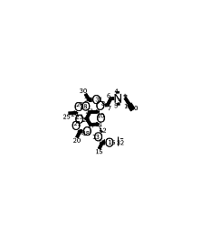 C#CC[N+](C)(C)CCOC1O[C@H](COC(C)=O)[C@@H](OC(C)=O)[C@H](OC(C)=O)[C@H]1OC(C)=O.[I-]